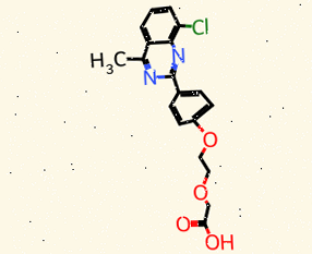 Cc1nc(-c2ccc(OCCOCC(=O)O)cc2)nc2c(Cl)cccc12